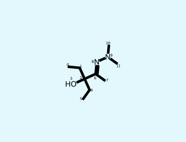 CCC(O)(CC)C(C)=NN(C)C